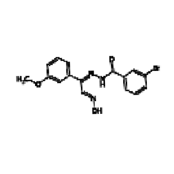 COc1cccc(C(/C=N/O)=N/NC(=O)c2cccc(Br)c2)c1